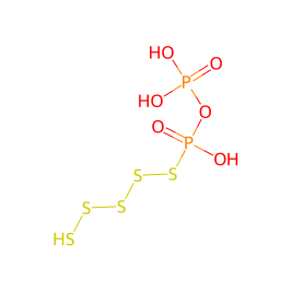 O=P(O)(O)OP(=O)(O)SSSSS